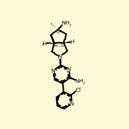 C[C@@]1(N)C[C@H]2CN(c3ncc(-c4cccnc4Cl)c(N)n3)C[C@H]2C1